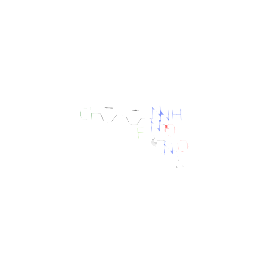 O=C(C1CC1)N1CC[C@@H](Cn2c(-c3ccc(-c4ccc(Cl)cc4)cc3F)n[nH]c2=O)C1